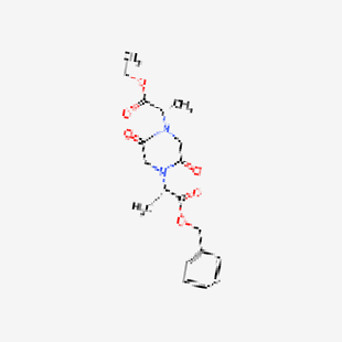 CCOC(=O)[C@H](C)N1CC(=O)N([C@@H](C)C(=O)OCc2ccccc2)CC1=O